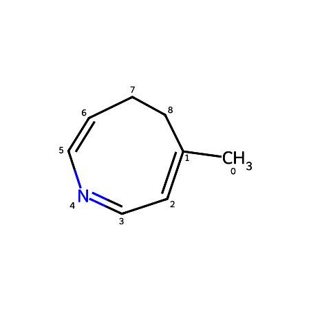 C/C1=C/C=N\C=C/CC1